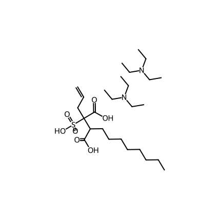 C=CCC(C(=O)O)(C(CCCCCCCC)C(=O)O)S(=O)(=O)O.CCN(CC)CC.CCN(CC)CC